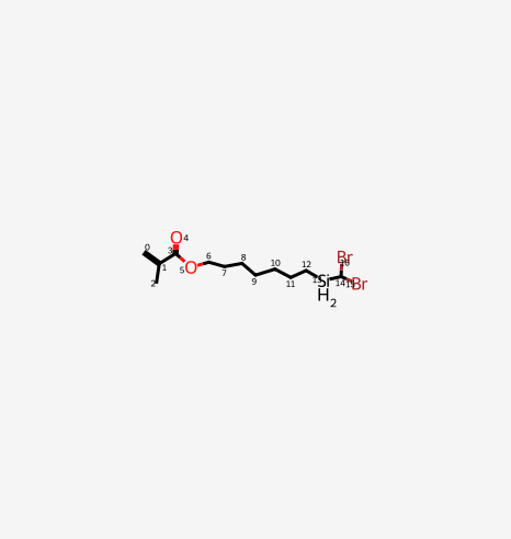 C=C(C)C(=O)OCCCCCCC[SiH2]C(Br)Br